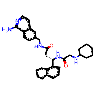 Nc1nccc2cc(CNC(=O)C[C@H](NC(=O)CNC3CCCCC3)c3cccc4ccccc34)ccc12